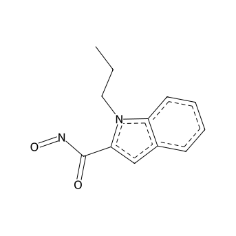 CCCn1c(C(=O)N=O)cc2ccccc21